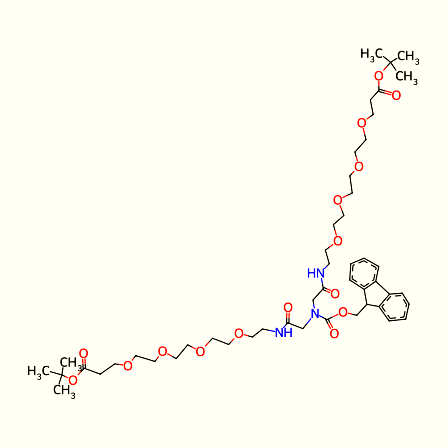 CC(C)(C)OC(=O)CCOCCOCCOCCOCCNC(=O)CN(CC(=O)NCCOCCOCCOCCOCCC(=O)OC(C)(C)C)C(=O)OCC1c2ccccc2-c2ccccc21